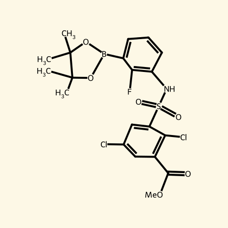 COC(=O)c1cc(Cl)cc(S(=O)(=O)Nc2cccc(B3OC(C)(C)C(C)(C)O3)c2F)c1Cl